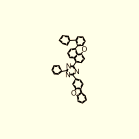 c1ccc(-c2nc(-c3ccc4c(c3)oc3ccccc34)nc(-c3ccc4c5c(cccc35)-c3c(cccc3-c3ccccc3)O4)n2)cc1